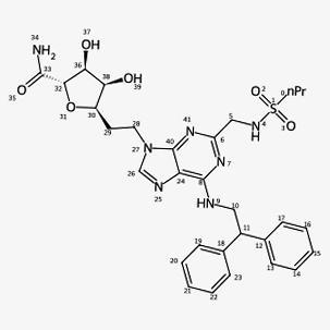 CCCS(=O)(=O)NCc1nc(NCC(c2ccccc2)c2ccccc2)c2ncn(CC[C@H]3O[C@H](C(N)=O)[C@@H](O)[C@H]3O)c2n1